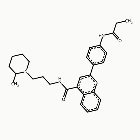 CCC(=O)Nc1ccc(-c2cc(C(=O)NCCCN3CCCCC3C)c3ccccc3n2)cc1